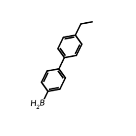 Bc1ccc(-c2ccc(CC)cc2)cc1